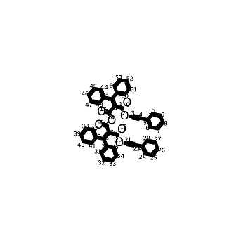 O=C(OC#Cc1ccccc1)C(C(=O)OC(=O)C(C(=O)OC#Cc1ccccc1)=C(c1ccccc1)c1ccccc1)=C(c1ccccc1)c1ccccc1